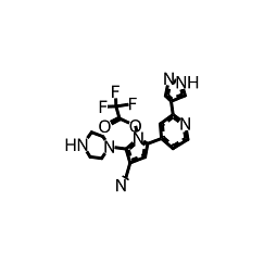 N#Cc1cc(-c2ccnc(-c3cn[nH]c3)c2)n(OC(=O)C(F)(F)F)c1N1CCNCC1